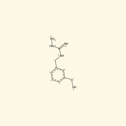 CCCOc1cccc(CNC(=N)N[N+](=O)[O-])c1